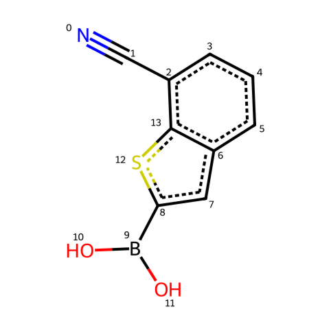 N#Cc1cccc2cc(B(O)O)sc12